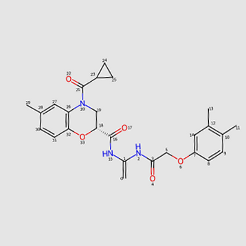 C=C(NC(=O)COc1ccc(C)c(C)c1)NC(=O)[C@H]1CN(C(=O)C2CC2)c2cc(C)ccc2O1